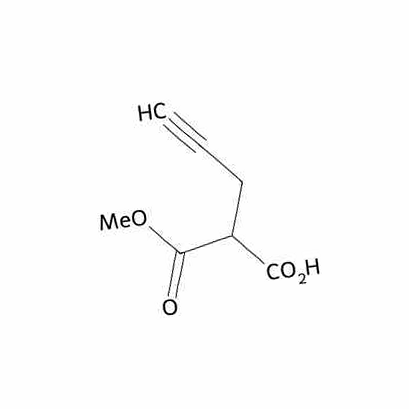 C#CCC(C(=O)O)C(=O)OC